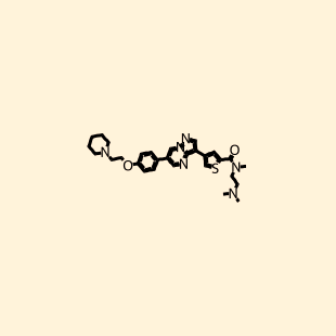 CN(C)CCN(C)C(=O)c1cc(-c2cnn3cc(-c4ccc(OCCN5CCCCC5)cc4)cnc23)cs1